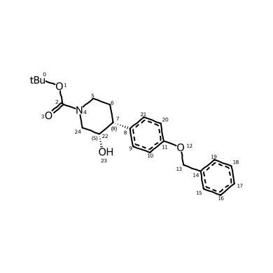 CC(C)(C)OC(=O)N1CC[C@H](c2ccc(OCc3ccccc3)cc2)[C@H](O)C1